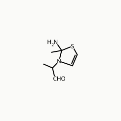 CC(C=O)N1C=CSC1(C)N